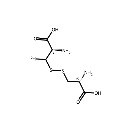 [2H]C(SSC[C@H](N)C(=O)O)[C@H](N)C(=O)O